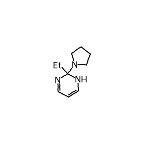 CCC1(N2CCCC2)N=CC=CN1